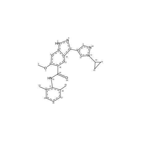 COc1cc2[nH]nc(-c3cnn(C4CC4)c3)c2cc1C(=O)Nc1c(C)cccc1C